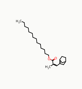 CCCCCCCCCCCCCCOC(=O)C(C)=CC1=C2CCC(C1)C2